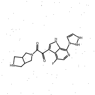 O=C(C(=O)N1CC2CNCC2C1)c1c[nH]c2c(N3C=CNN3)ncc(F)c12